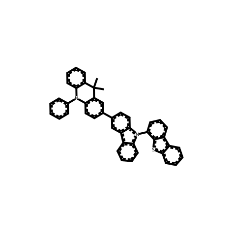 CC1(C)c2ccccc2N(c2ccccc2)c2ccc(-c3ccc4c(c3)c3ccccc3n4-c3cccc4c3sc3ccccc34)cc21